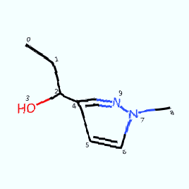 CCC(O)c1ccn(C)n1